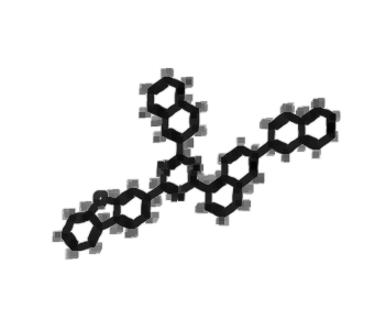 c1ccc2cc(-c3ccc4c(-c5nc(-c6ccc7ccccc7c6)nc(-c6ccc7c(c6)oc6ccccc67)n5)cccc4c3)ccc2c1